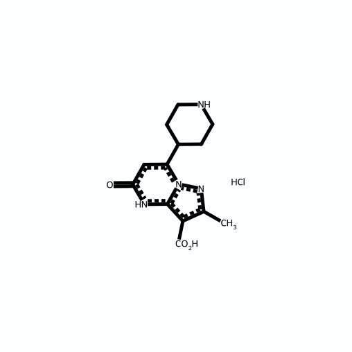 Cc1nn2c(C3CCNCC3)cc(=O)[nH]c2c1C(=O)O.Cl